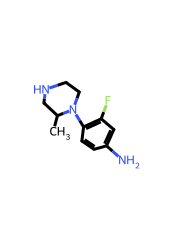 CC1CNCCN1c1ccc(N)cc1F